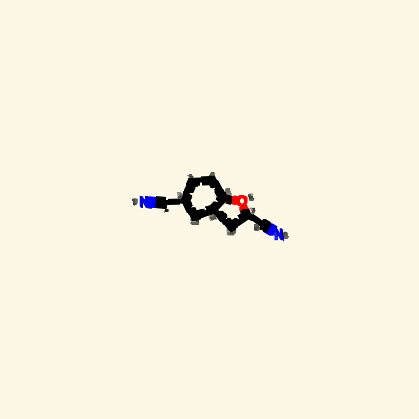 N#Cc1ccc2oc(C#N)cc2c1